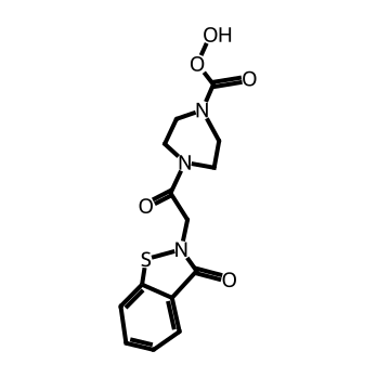 O=C(Cn1sc2ccccc2c1=O)N1CCN(C(=O)OO)CC1